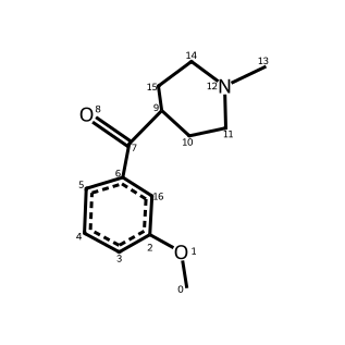 COc1cccc(C(=O)C2CCN(C)CC2)c1